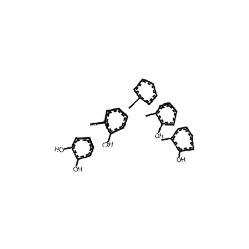 Cc1ccccc1.Cc1ccccc1O.Cc1ccccc1O.Cc1ccccc1O.Oc1ccccc1O